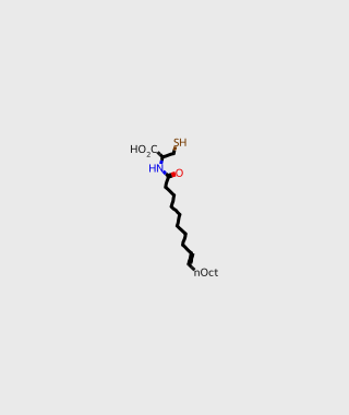 CCCCCCCC/C=C/CCCCCCCC(=O)NC(CS)C(=O)O